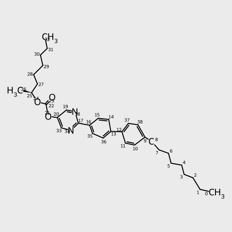 CCCCCCCCCc1ccc(-c2ccc(-c3ncc(OC(=O)O[C@@H](C)CCCCCC)cn3)cc2)cc1